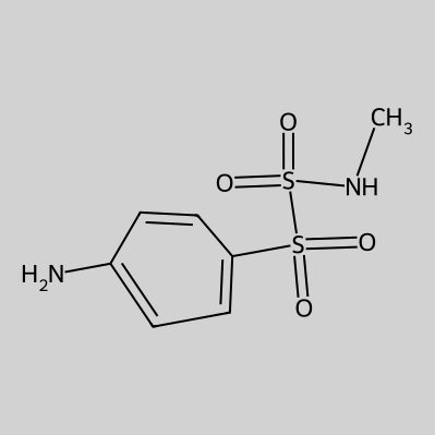 CNS(=O)(=O)S(=O)(=O)c1ccc(N)cc1